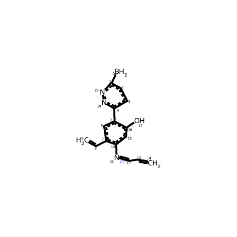 Bc1ccc(-c2cc(C=C)c(/N=C\C=C)cc2O)nn1